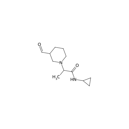 CC(C(=O)NC1CC1)N1CCCC(C=O)C1